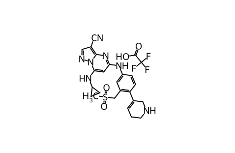 CS(=O)(=O)Cc1cc(Nc2cc(NC3CC3)n3ncc(C#N)c3n2)ccc1C1=CCCNC1.O=C(O)C(F)(F)F